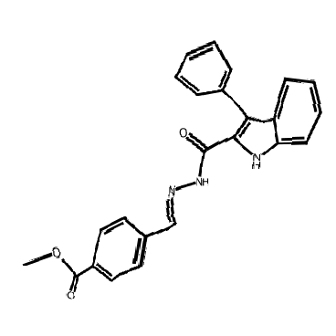 COC(=O)c1ccc(C=NNC(=O)c2[nH]c3ccccc3c2-c2ccccc2)cc1